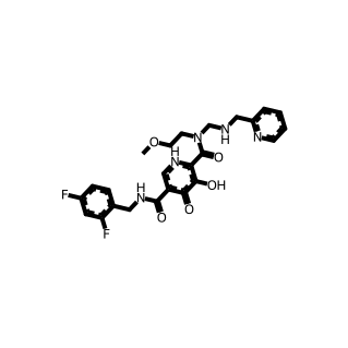 COCCN(CNCc1ccccn1)C(=O)c1[nH]cc(C(=O)NCc2ccc(F)cc2F)c(=O)c1O